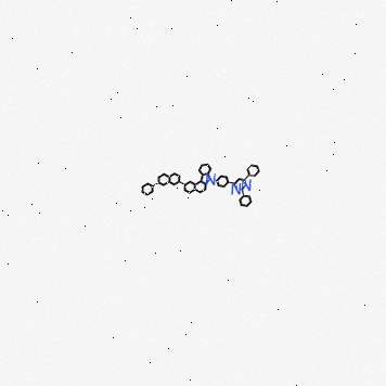 C1=C=CC(c2cc(-c3ccc(-n4c5ccccc5c5c6cc(-c7ccc8ccc(-c9ccccc9)cc8c7)ccc6ccc54)cc3)nc(-c3ccccc3)n2)=CC=1